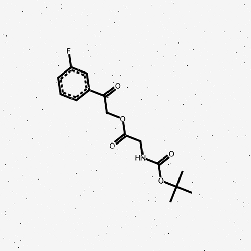 CC(C)(C)OC(=O)NCC(=O)OCC(=O)c1cccc(F)c1